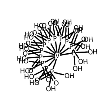 O=[P](O)(O)[V]([P](=O)(O)O)([P](=O)(O)O)([P](=O)(O)O)([P](=O)(O)O)([P](=O)(O)O)([P](=O)(O)O)([P](=O)(O)O)([P](=O)(O)O)([P](=O)(O)O)([P](=O)(O)O)[P](=O)(O)O